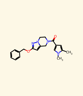 Cc1cc(C(=O)N2CCn3nc(OCc4ccccc4)cc3C2)cn1C